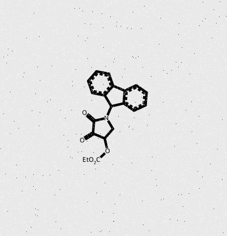 CCOC(=O)OC1CN(C2c3ccccc3-c3ccccc32)C(=O)C1=O